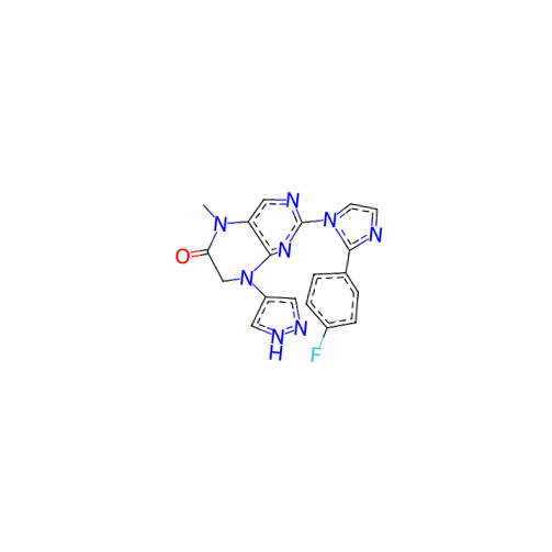 CN1C(=O)CN(c2cn[nH]c2)c2nc(-n3ccnc3-c3ccc(F)cc3)ncc21